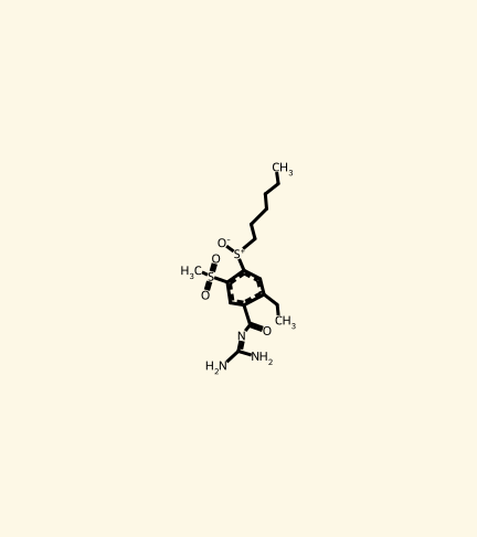 CCCCCC[S+]([O-])c1cc(CC)c(C(=O)N=C(N)N)cc1S(C)(=O)=O